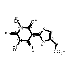 CCOC(=O)CC1=CSC(=C2C(=O)N(CC)C(=S)N(CC)C2=O)S1